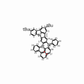 CC(C)(C)c1ccc2c(c1)c1cc(C(C)(C)C)cc3c4cc5c(cc4n2c13)B(c1ccccc1-c1ccccc1)c1ccccc1N5c1ccccc1